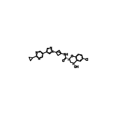 O=C(NC12CC(n3cc(-c4cnc(C5CC5)nc4)cn3)(C1)C2)[C@H]1C[C@@H](O)c2cc(Cl)ccc2O1